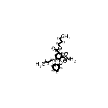 CCCCNc1cc(C(=O)OCCCC)cc(S(N)(=O)=O)c1Oc1ccccc1